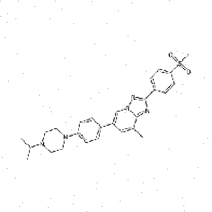 Cc1cc(-c2ccc(N3CCN(C(C)C)CC3)cc2)cn2nc(-c3ccc(S(C)(=O)=O)cc3)nc12